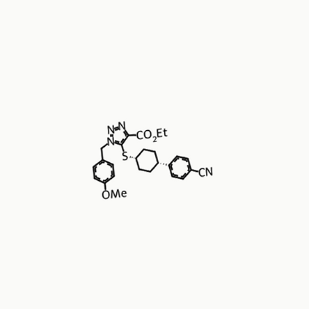 CCOC(=O)c1nnn(Cc2ccc(OC)cc2)c1S[C@H]1CC[C@@H](c2ccc(C#N)cc2)CC1